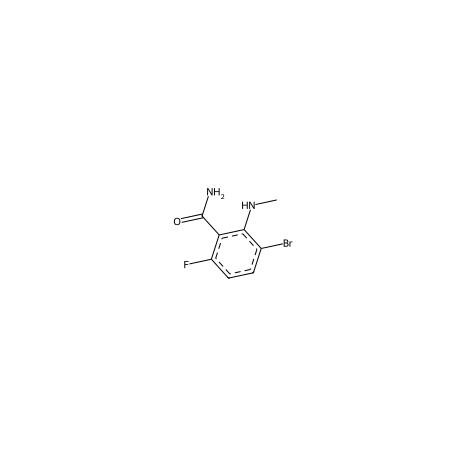 CNc1c(Br)ccc(F)c1C(N)=O